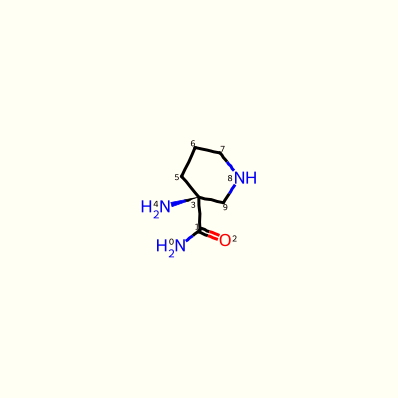 NC(=O)[C@]1(N)CCCNC1